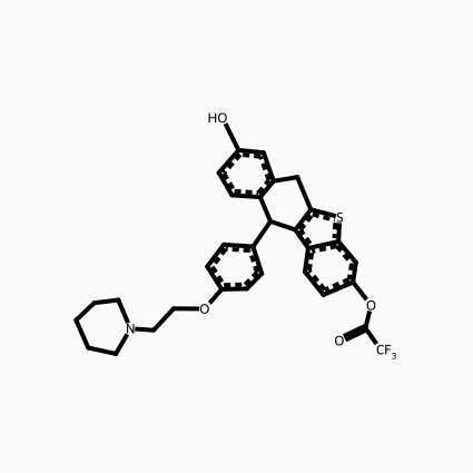 O=C(Oc1ccc2c3c(sc2c1)Cc1cc(O)ccc1C3c1ccc(OCCN2CCCCC2)cc1)C(F)(F)F